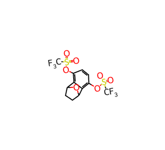 O=S(=O)(Oc1ccc(OS(=O)(=O)C(F)(F)F)c2c1C1CCC2O1)C(F)(F)F